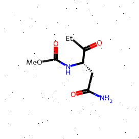 CCC(=O)[C@H](CC(N)=O)NC(=O)OC